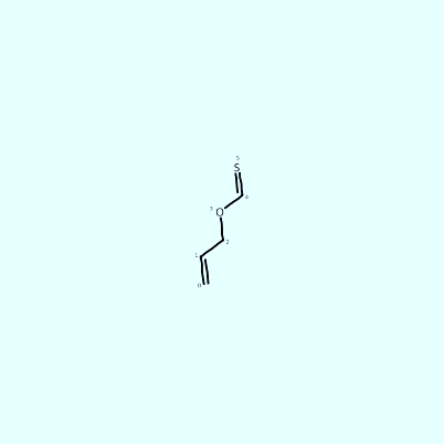 C=CCOC=S